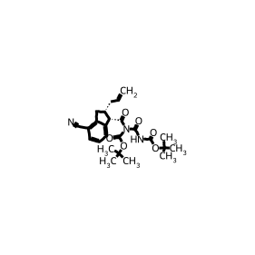 C=CC[C@H]1Cc2c(C#N)cccc2[C@H]1C(=O)N(C(=O)NC(=O)OC(C)(C)C)C(=O)OC(C)(C)C